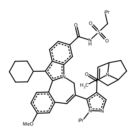 COc1ccc2c(c1)C=C(c1c(C(=O)N3C4C=C(C)CC3CC4)cnn1C(C)C)Cn1c-2c(C2CCCCC2)c2ccc(C(=O)NS(=O)(=O)CC(C)C)cc21